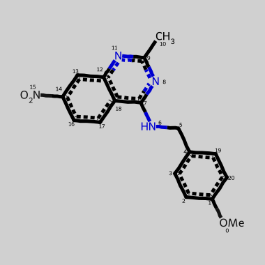 COc1ccc(CNc2nc(C)nc3cc([N+](=O)[O-])ccc23)cc1